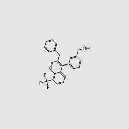 OCc1cccc(-c2c(Cc3ccccc3)cnc3c(C(F)(F)F)cccc23)c1